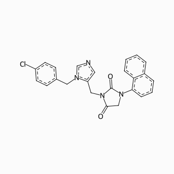 O=C1CN(c2cccc3ccccc23)C(=O)N1Cc1cncn1Cc1ccc(Cl)cc1